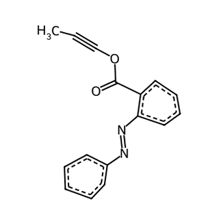 CC#COC(=O)c1ccccc1N=Nc1ccccc1